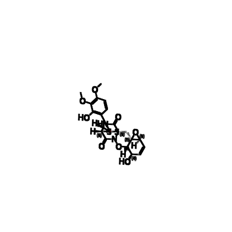 COc1ccc([C@@H]2SS[C@]34C[C@]56O[C@H]5C=C[C@@H](O)[C@@H]6ON3C(=O)[C@@H]2NC4=O)c(O)c1OC